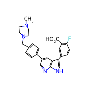 CN1CCN(Cc2ccc(-c3cnc4[nH]cc(-c5ccc(F)c(C(=O)O)c5)c4c3)cc2)CC1